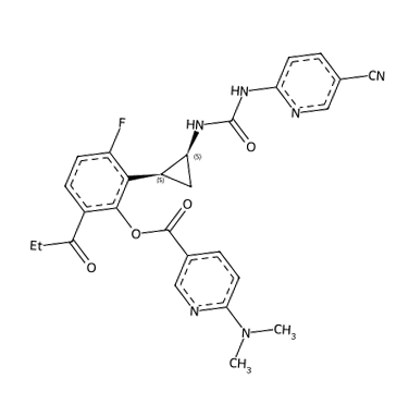 CCC(=O)c1ccc(F)c([C@@H]2C[C@@H]2NC(=O)Nc2ccc(C#N)cn2)c1OC(=O)c1ccc(N(C)C)nc1